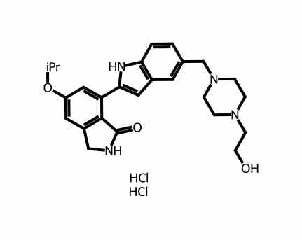 CC(C)Oc1cc2c(c(-c3cc4cc(CN5CCN(CCO)CC5)ccc4[nH]3)c1)C(=O)NC2.Cl.Cl